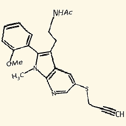 C#CCSc1cnc2c(c1)c(CCNC(C)=O)c(-c1ccccc1OC)n2C